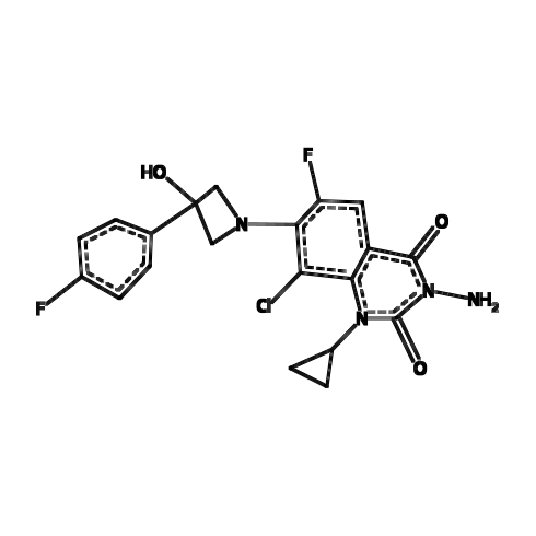 Nn1c(=O)c2cc(F)c(N3CC(O)(c4ccc(F)cc4)C3)c(Cl)c2n(C2CC2)c1=O